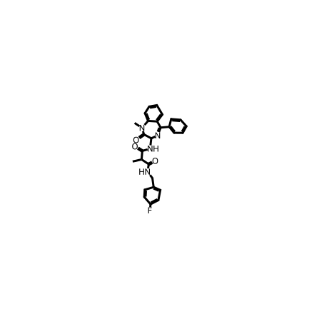 CC(C(=O)NCc1ccc(F)cc1)C(=O)NC1N=C(c2ccccc2)c2ccccc2N(C)C1=O